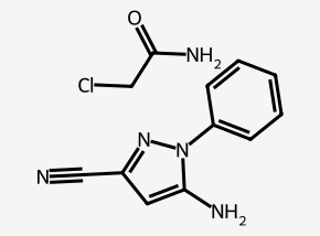 N#Cc1cc(N)n(-c2ccccc2)n1.NC(=O)CCl